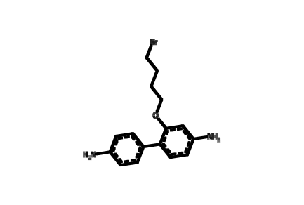 Nc1ccc(-c2ccc(N)cc2OCCCCBr)cc1